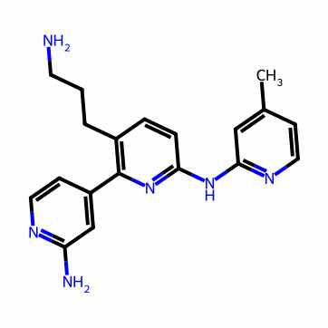 Cc1ccnc(Nc2ccc(CCCN)c(-c3ccnc(N)c3)n2)c1